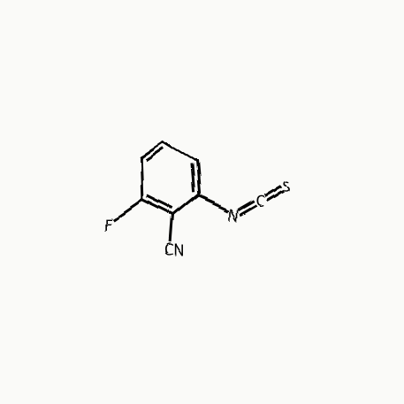 N#Cc1c(F)cccc1N=C=S